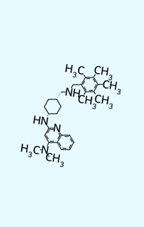 Cc1c(C)c(C)c(CNC[C@H]2CC[C@@H](Nc3cc(N(C)C)c4ccccc4n3)CC2)c(C)c1C